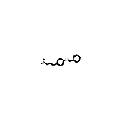 CNCC=Cc1ccc(OCc2ccccc2)cc1